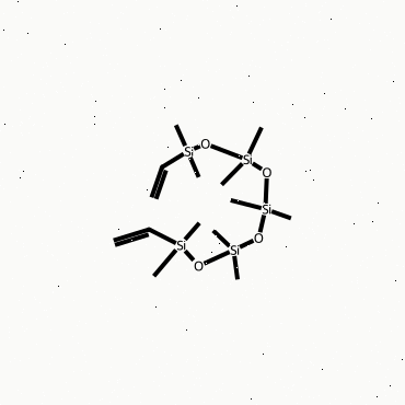 C=C[Si](C)(C)O[Si](C)(C)O[Si](C)(C)O[Si](C)(C)O[Si](C)(C)C=C